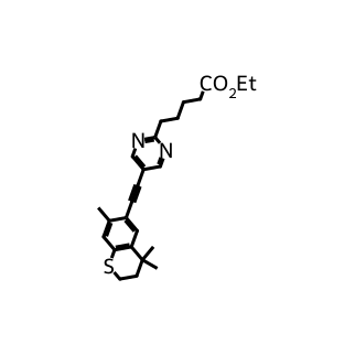 CCOC(=O)CCCCc1ncc(C#Cc2cc3c(cc2C)SCCC3(C)C)cn1